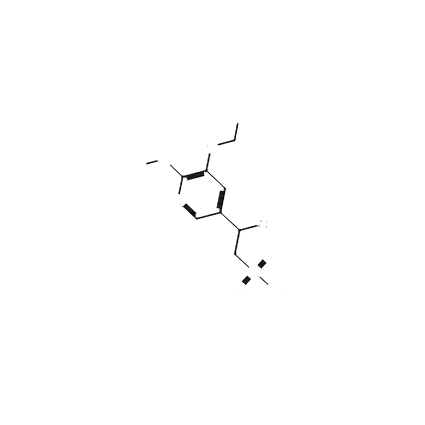 CCOc1cc(C(N)CS(C)(=O)=O)cnc1OC